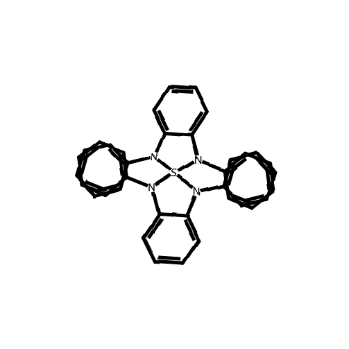 c1ccc(N2c3ccccc3N(c3ccccc3)S23N(c2ccccc2)c2ccccc2N3c2ccccc2)cc1